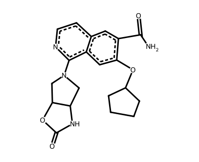 NC(=O)c1cc2ccnc(N3CC4NC(=O)OC4C3)c2cc1OC1CCCC1